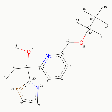 CCC(OC)(c1cccc(CO[Si](C)(C)C(C)(C)C)n1)c1nccs1